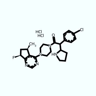 C[C@@H]1C[C@H](F)c2ncnc(N3CCN(C(=O)C(c4ccc(Cl)cc4)C4CCCN4)CC3)c21.Cl.Cl